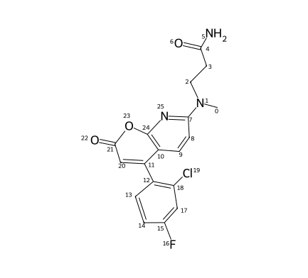 CN(CCC(N)=O)c1ccc2c(-c3ccc(F)cc3Cl)cc(=O)oc2n1